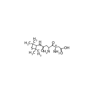 CC1(C)SC(C)(C)C1NC(=O)CC(N)C(=O)[C@H](N)CC(=O)O